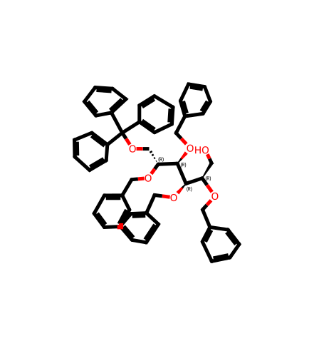 OC[C@@H](OCc1ccccc1)[C@@H](OCc1ccccc1)[C@H](OCc1ccccc1)[C@@H](COC(c1ccccc1)(c1ccccc1)c1ccccc1)OCc1ccccc1